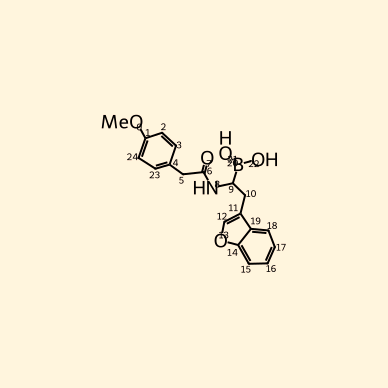 COc1ccc(CC(=O)NC(Cc2coc3ccccc23)B(O)O)cc1